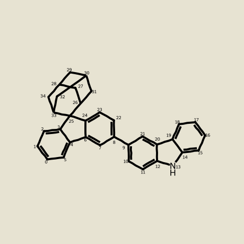 c1ccc2c(c1)-c1cc(-c3ccc4[nH]c5ccccc5c4c3)ccc1C21C2CC3CC(C2)CC1C3